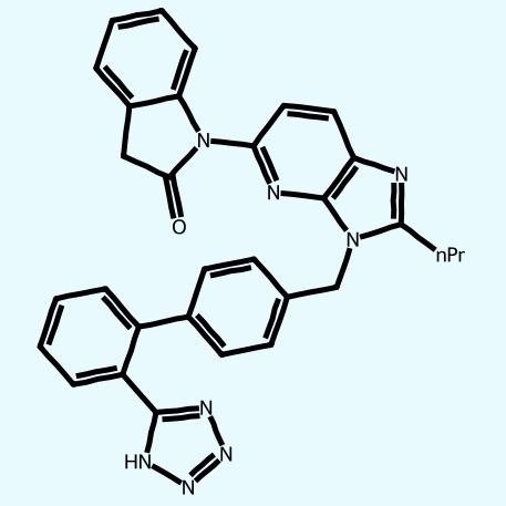 CCCc1nc2ccc(N3C(=O)Cc4ccccc43)nc2n1Cc1ccc(-c2ccccc2-c2nnn[nH]2)cc1